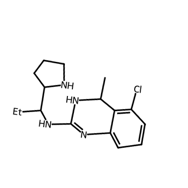 CCC(NC1=Nc2cccc(Cl)c2C(C)N1)C1CCCN1